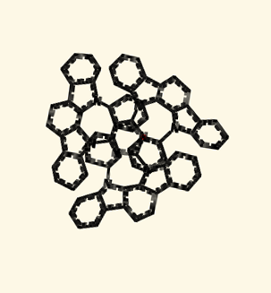 c1ccc(-n2c3ccccc3c3ccc4c5ccccc5n(-c5cc(-n6c7ccccc7c7ccc8c9ccccc9n(-c9ccccc9)c8c76)nc(-n6c7ccccc7c7ccc8c9ccccc9n(-c9ccccc9)c8c76)n5)c4c32)cc1